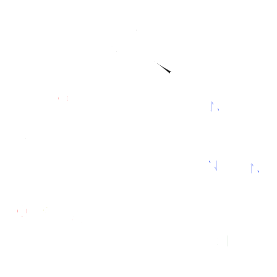 CS(=O)(=O)c1ccc(OCC[C@@H]2C[C@H]2C2CCN(Cc3ncc(Cl)cn3)CC2)cc1